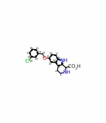 O=C(O)C1NCCc2c1[nH]c1ccc(OCc3cccc(Cl)c3)cc21